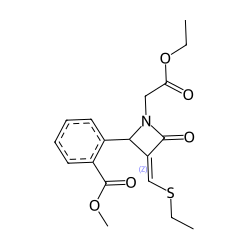 CCOC(=O)CN1C(=O)/C(=C\SCC)C1c1ccccc1C(=O)OC